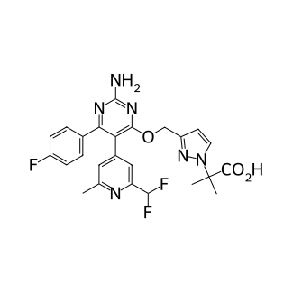 Cc1cc(-c2c(OCc3ccn(C(C)(C)C(=O)O)n3)nc(N)nc2-c2ccc(F)cc2)cc(C(F)F)n1